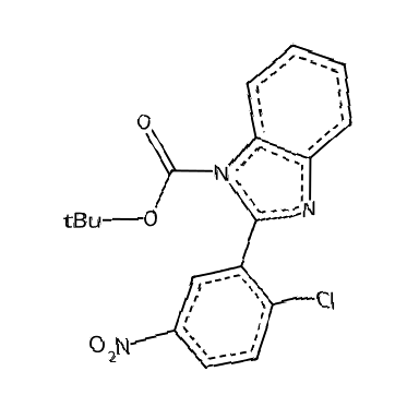 CC(C)(C)OC(=O)n1c(-c2cc([N+](=O)[O-])ccc2Cl)nc2ccccc21